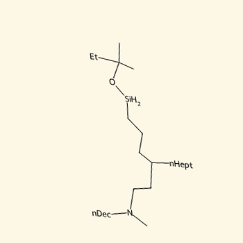 CCCCCCCCCCN(C)CCC(CCCCCCC)CCC[SiH2]OC(C)(C)CC